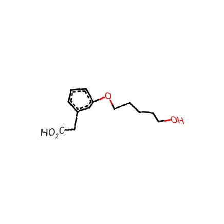 O=C(O)Cc1cccc(OCCCCCO)c1